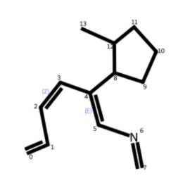 C=C/C=C\C(=C\N=C)C1CCCC1C